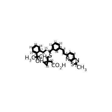 Cc1nc2ccc(C=Cc3cccc([C@@H](CCc4ccccc4C(C)(C)O)SCC4(CC(=O)O)CC4)c3)nc2s1